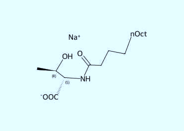 CCCCCCCCCCCC(=O)N[C@H](C(=O)[O-])[C@@H](C)O.[Na+]